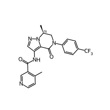 Cc1ccncc1C(=O)Nc1cnn2c1C(=O)N(c1ccc(C(F)(F)F)cc1)C[C@@H]2C